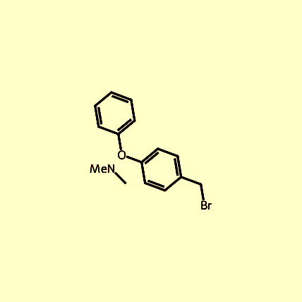 BrCc1ccc(Oc2ccccc2)cc1.CNC